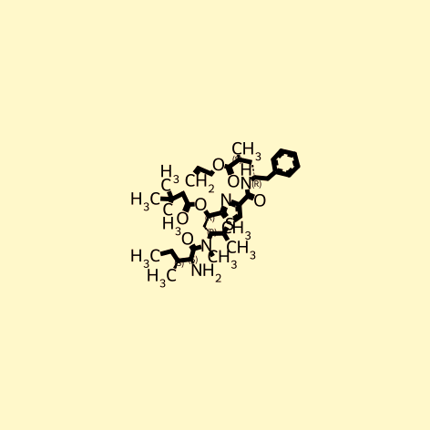 C=CCOC(=O)[C@@H](C)C[C@H](Cc1ccccc1)NC(=O)c1csc([C@@H](C[C@H](C(C)C)N(C)C(=O)[C@@H](N)[C@@H](C)CC)OC(=O)CC(C)(C)C)n1